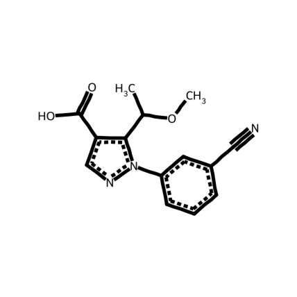 COC(C)c1c(C(=O)O)cnn1-c1cccc(C#N)c1